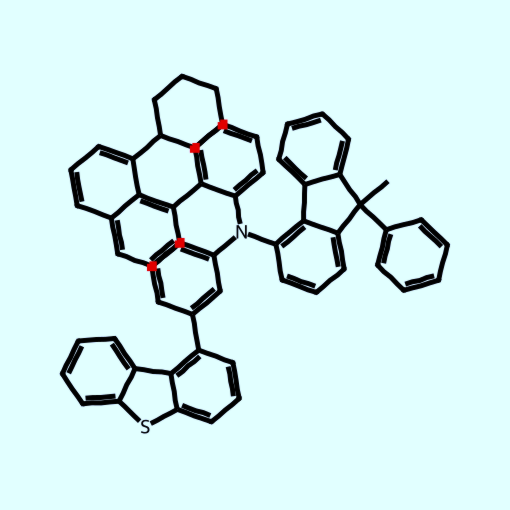 CC1(c2ccccc2)c2ccccc2-c2c(N(c3cccc(-c4cccc5sc6ccccc6c45)c3)c3ccccc3-c3cccc4cccc(C5CCCCC5)c34)cccc21